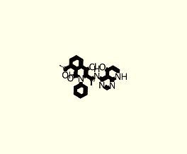 C[C@H](Nc1ncnc2[nH]ccc(=O)c12)c1c(Cl)c2cccc([C@@H](C)O)c2c(=O)n1-c1ccccc1